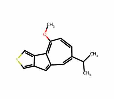 COc1ccc(C(C)C)cc2cc3cscc3c1-2